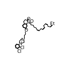 CC/C=C\C/C=C\C/C=C\C/C=C\CCCCC(=O)N1C(=O)CCc2ccc(OCCCCN3CCN(c4cccc(Cl)c4Cl)CC3)cc21